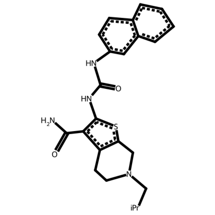 CC(C)CN1CCc2c(sc(NC(=O)Nc3ccc4ccccc4c3)c2C(N)=O)C1